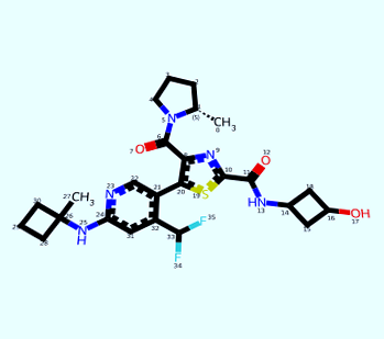 C[C@H]1CCCN1C(=O)c1nc(C(=O)NC2CC(O)C2)sc1-c1cnc(NC2(C)CCC2)cc1C(F)F